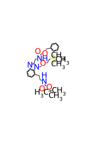 CC(C)(C)OC(=O)NCCc1cccc2nc(CNC(=O)OCc3ccccc3)n(COCCS(C)(C)C)c12